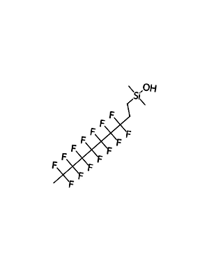 CC(F)(F)C(F)(F)C(F)(F)C(F)(F)C(F)(F)C(F)(F)C(F)(F)CC[Si](C)(C)O